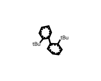 CC(C)(C)c1c[c]ccc1-c1ccccc1C(C)(C)C